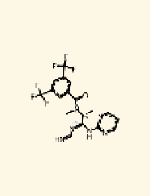 C[C@@H](/C(=N/C=N)Nc1ncccn1)N(C)C(=O)c1cc(C(F)(F)F)cc(C(F)(F)F)c1